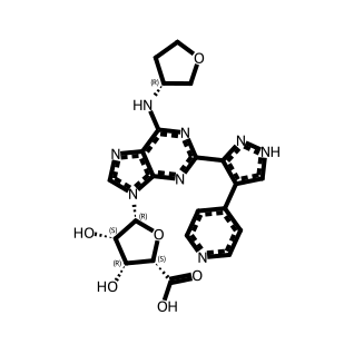 O=C(O)[C@H]1O[C@@H](n2cnc3c(N[C@@H]4CCOC4)nc(-c4n[nH]cc4-c4ccncc4)nc32)[C@@H](O)[C@H]1O